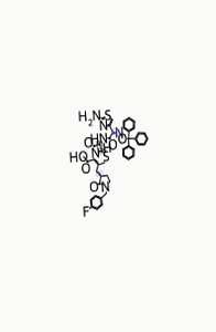 Nc1nc(/C(=N/OC(c2ccccc2)(c2ccccc2)c2ccccc2)C(=O)N[C@@H]2C(=O)N3C(C(=O)O)=C(/C=C4\CCN(Cc5ccc(F)cc5)C4=O)CS[C@H]23)cs1